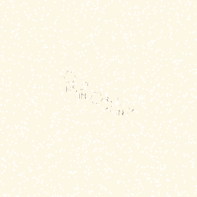 CCCC(=O)NCC(=O)Nc1ccc(NC(=O)Nc2ccccc2)cc1